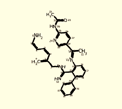 C=C(/C=C\C=C/N)CNC(=N)c1c(/N=C(\C)c2ccc(NC(C)=O)nc2)cccc1-c1ccccc1